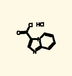 Cl.O=C(Cl)c1cnc2ccccn12